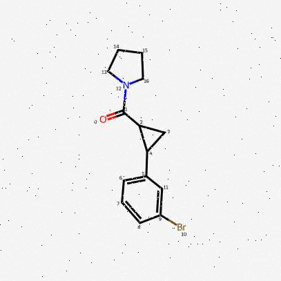 O=C(C1CC1c1cccc(Br)c1)N1CCCC1